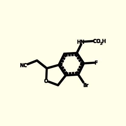 N#CCC1OCc2c1cc(NC(=O)O)c(F)c2Br